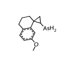 COc1ccc2c(c1)C1(CCC2)CC1[AsH2]